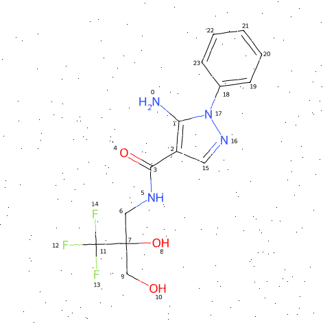 Nc1c(C(=O)NCC(O)(CO)C(F)(F)F)cnn1-c1ccccc1